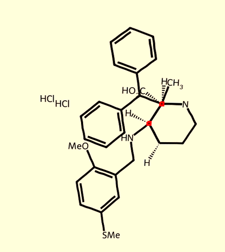 COc1ccc(SC)cc1CN[C@@H]1[C@@H]2CCN([C@@H]1C(c1ccccc1)c1ccccc1)[C@@](C)(C(=O)O)C2.Cl.Cl